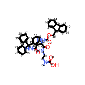 CN(CCNC(=O)C(CC(=O)NC(c1ccccc1)(c1ccccc1)c1ccccc1)NC(=O)OCC1c2ccccc2-c2ccccc21)C(=O)O